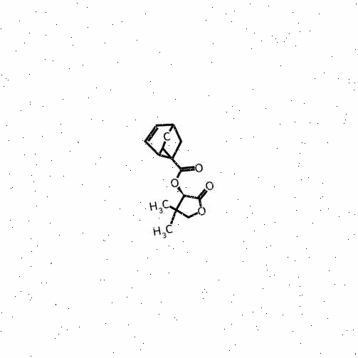 CC1(C)COC(=O)[C@@H]1OC(=O)C1CC2C=CC1CC2